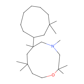 CN1CC(C)(C)OCCC(C)(C)CC(C)(C2CCCCCCC(C)(C)C2)C1